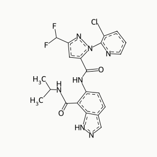 CC(C)NC(=O)c1c(NC(=O)c2cc(C(F)F)nn2-c2ncccc2Cl)ccc2cn[nH]c12